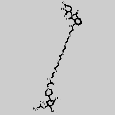 Cc1cc(N)c(OC(C)C)cc1C1CCN(CC(=O)NCCOCCOCCOCCOCCOCCNc2cccc3c2C(=O)N(C2CCC(=O)NC2=O)C3=O)CC1